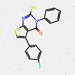 O=c1c2c(-c3ccc(F)cc3)csc2nc(S)n1-c1ccccc1